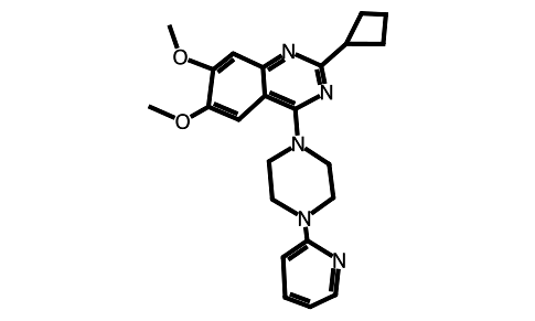 COc1cc2nc(C3CCC3)nc(N3CCN(c4ccccn4)CC3)c2cc1OC